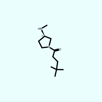 CN[C@@H]1CCN(C(=O)CCC(C)(C)C)C1